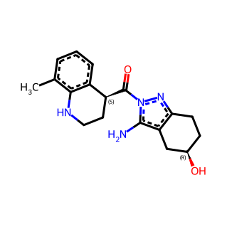 Cc1cccc2c1NCC[C@@H]2C(=O)n1nc2c(c1N)C[C@H](O)CC2